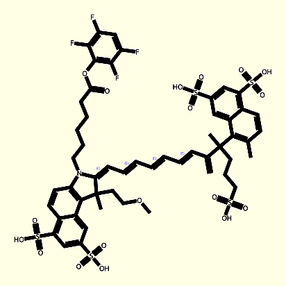 C=C(/C=C/C=C/C=C/C=C1/N(CCCCCC(=O)Oc2c(F)c(F)cc(F)c2F)c2ccc3c(S(=O)(=O)O)cc(S(=O)(=O)O)cc3c2C1(C)CCOC)C(C)(CCCS(=O)(=O)O)c1c(C)ccc2c(S(=O)(=O)O)cc(S(=O)(=O)O)cc12